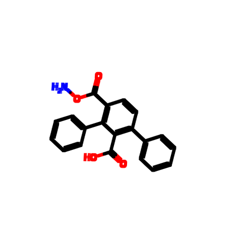 NOC(=O)c1ccc(-c2ccccc2)c(C(=O)O)c1-c1ccccc1